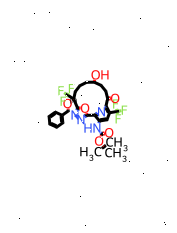 CC(C)(C)OC(=O)Nc1cc(C(F)(F)F)c2nc1-c1nnc(o1)[C@@](OCc1ccccc1)(C(F)(F)F)CCCC(O)CCC2=O